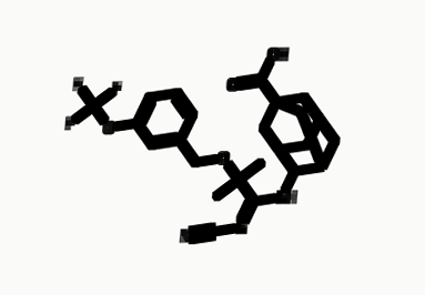 CC(C)(OCc1cccc(OC(F)(F)F)c1)/C(=N\C#N)NC1C2CC3CC1CC(C(=O)O)(C3)C2